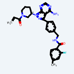 C=CC(=O)N1CCC[C@@H](n2nc(-c3ccc(CNC(=O)c4ccc(C)cc4F)cc3)c3c(N)ncnc32)C1